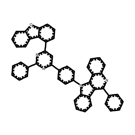 c1ccc(-c2nc(-c3ccc(-n4c5ccccc5c5c(-c6ccccc6)nc6ccccc6c54)cc3)cc(-c3cccc4oc5ccccc5c34)n2)cc1